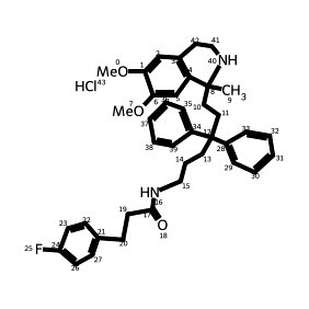 COc1cc2c(cc1OC)C(C)(CCC(CCCNC(=O)CCc1ccc(F)cc1)(c1ccccc1)c1ccccc1)NCC2.Cl